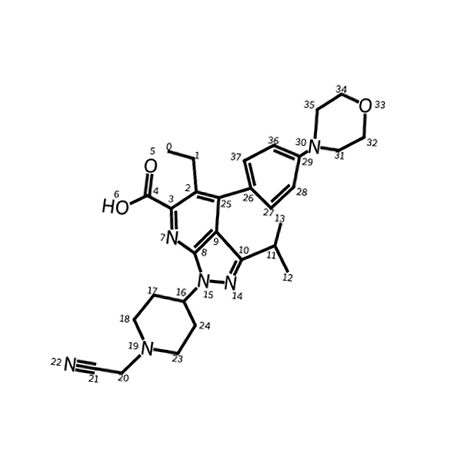 CCc1c(C(=O)O)nc2c(c(C(C)C)nn2C2CCN(CC#N)CC2)c1-c1ccc(N2CCOCC2)cc1